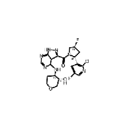 O=C(C1=NNC2=NC=NC(N[C@@H]3CCOC[C@H]3O)C21)N1C[C@@H](F)C[C@@H]1c1cc(F)cnc1Cl